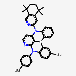 CC(C)(C)c1ccc(N2c3ccc(C(C)(C)C)cc3B3c4ccccc4N(c4cc5c(cn4)C(C)(C)CCC5(C)C)c4ccnc2c43)cc1